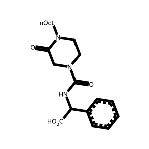 CCCCCCCCN1CCN(C(=O)NC(C(=O)O)c2ccccc2)CC1=O